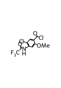 COc1cc(NC(=O)C(F)(F)F)c(Cl)cc1C(=O)Cl